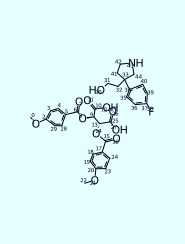 COc1ccc(C(=O)O[C@@H](C(=O)O)[C@@H](OC(=O)c2ccc(OC)cc2)C(=O)O)cc1.OCCC1(c2ccc(F)cc2)CCNC1